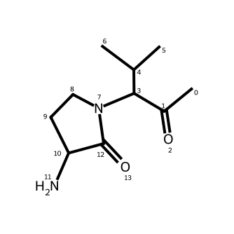 CC(=O)C(C(C)C)N1CCC(N)C1=O